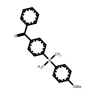 COc1ccc([Si](C)(C)c2ccc(C(=O)c3ccccc3)cc2)cc1